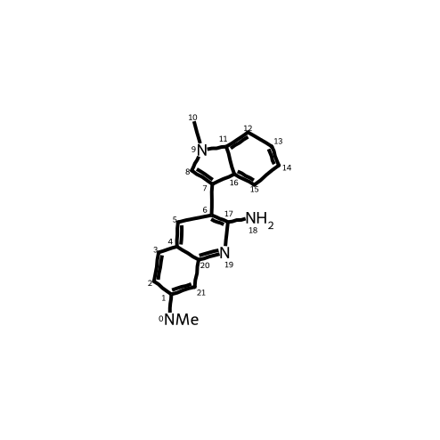 CNc1ccc2cc(-c3cn(C)c4ccccc34)c(N)nc2c1